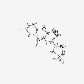 C=[N+](c1cncc(F)c1)N1CC(C2=NOC(C)(C)C2)=NNC1=O